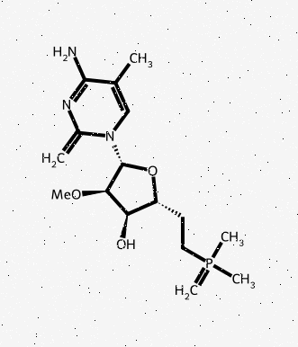 C=C1N=C(N)C(C)=CN1[C@@H]1O[C@H](CCP(=C)(C)C)[C@@H](O)[C@H]1OC